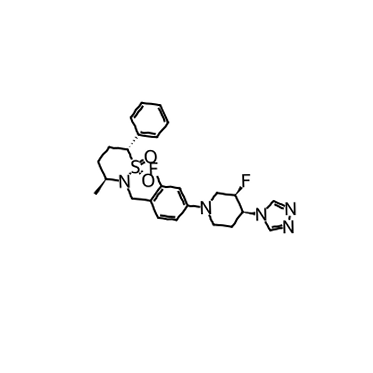 C[C@H]1CC[C@H](c2ccccc2)S(=O)(=O)N1Cc1ccc(N2CC[C@H](n3cnnc3)[C@H](F)C2)cc1F